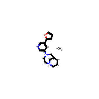 [CH2].c1coc(-c2cncc(N3CCN4CCCC(C4)C3)c2)c1